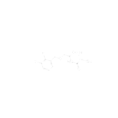 CC(C)(C)OC(=O)NC(COCc1cccc(F)c1F)C(=O)O